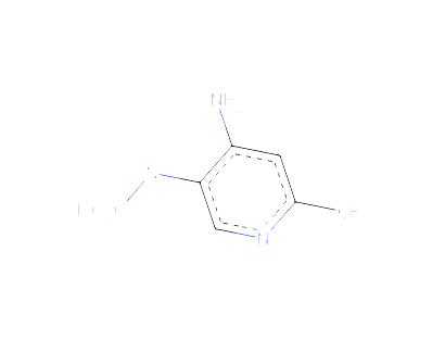 Nc1cc(C(F)(F)F)ncc1NC(=O)O